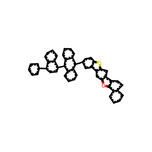 c1ccc(-c2ccc(-c3c4ccccc4c(-c4ccc5sc6cc7c(cc6c5c4)oc4c5ccccc5ccc74)c4ccccc34)c3ccccc23)cc1